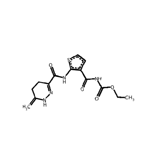 C=C1CCC(C(=O)Nc2sccc2C(=O)NC(=O)OCC)=NN1